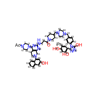 CC(=O)N1CCN(c2nc(NCCC(=O)N3CCC(CN4CCN(Cc5ccc(-n6c(O)nnc6-c6cc(C(C)C)c(O)cc6O)cc5)CC4)CC3)nc3c2CCN(c2cc(O)cc4ccccc24)C3)CC1